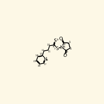 O=C1CCC(=O)N1SC(=S)CCCc1ccccn1